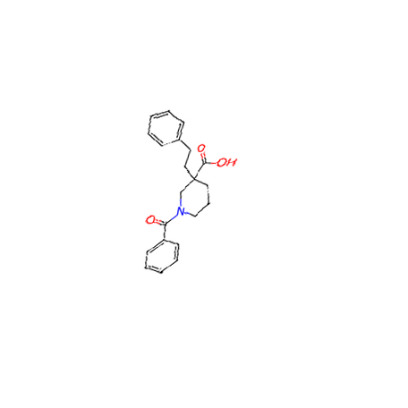 O=C(c1ccccc1)N1CCCC(CCc2ccccc2)(C(=O)O)C1